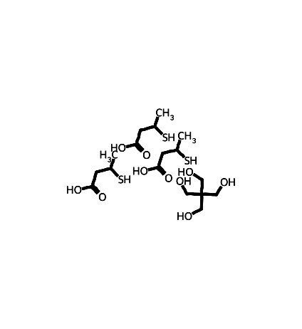 CC(S)CC(=O)O.CC(S)CC(=O)O.CC(S)CC(=O)O.OCC(CO)(CO)CO